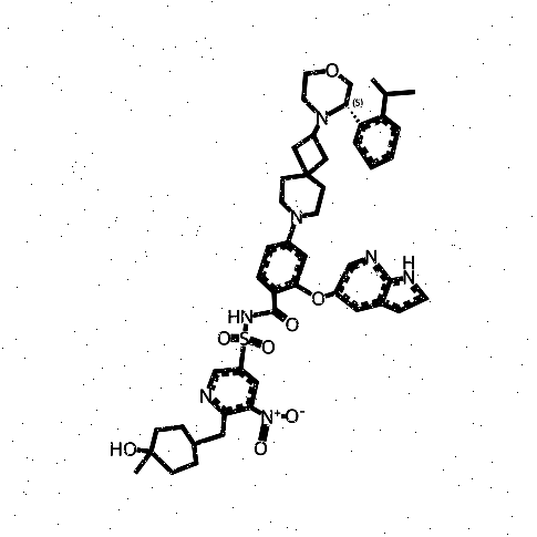 CC(C)c1ccccc1[C@H]1COCCN1C1CC2(CCN(c3ccc(C(=O)NS(=O)(=O)c4cnc(CC5CCC(C)(O)CC5)c([N+](=O)[O-])c4)c(Oc4cnc5[nH]ccc5c4)c3)CC2)C1